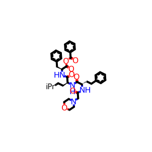 CC(C)CC[C@H](NC(=O)[C@H](CCc1ccccc1)NC(=O)CN1CCOCC1)C(=O)N[C@@H](Cc1ccccc1)C(=O)OC(=O)c1ccccc1